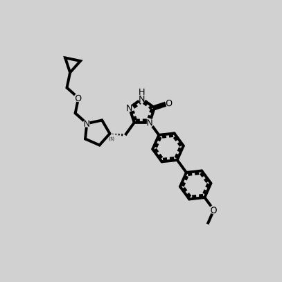 COc1ccc(-c2ccc(-n3c(C[C@@H]4CCN(COCC5CC5)C4)n[nH]c3=O)cc2)cc1